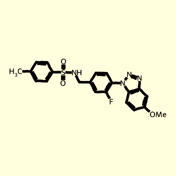 COc1ccc2c(c1)nnn2-c1ccc(CNS(=O)(=O)c2ccc(C)cc2)cc1F